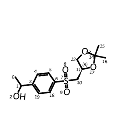 CC(O)c1ccc(S(=O)(=O)C[C@H]2COC(C)(C)O2)cc1